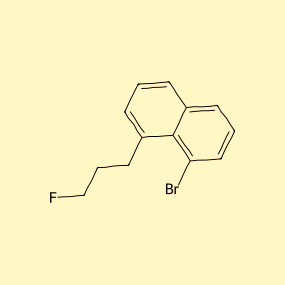 FCCCc1cccc2cccc(Br)c12